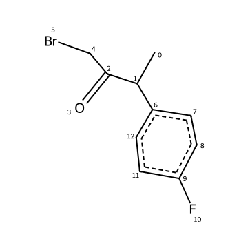 CC(C(=O)CBr)c1ccc(F)cc1